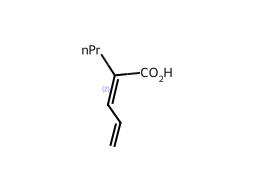 C=C/C=C(/CCC)C(=O)O